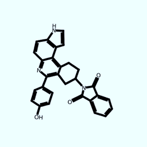 O=C1c2ccccc2C(=O)N1C1CCc2c(c(-c3ccc(O)cc3)nc3ccc4[nH]ccc4c23)C1